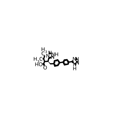 CCC(C)C(C(=O)O)[C@H](Cc1ccc(-c2ccc(-c3nnn[nH]3)cc2)cc1)c1nn[nH]n1